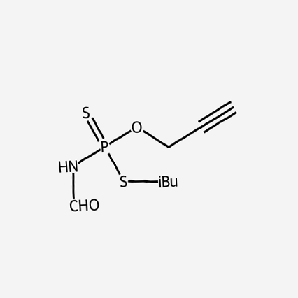 C#CCOP(=S)(NC=O)SC(C)CC